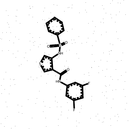 O=C(Nc1cc(F)cc(F)c1)c1cscc1NS(=O)(=O)c1ccccc1